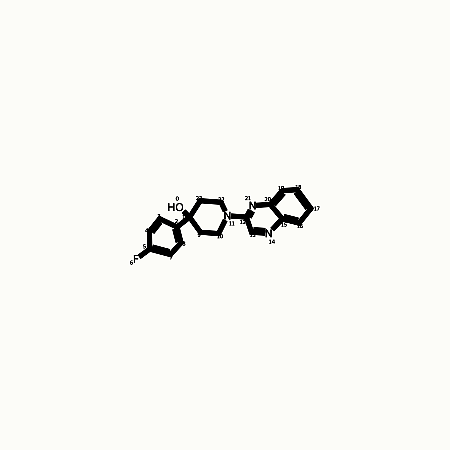 OC1(c2ccc(F)cc2)CCN(c2cnc3ccccc3n2)CC1